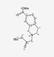 COC(=O)c1ccc2c(c1)CN(CC(=O)OC(C)(C)C)CC2